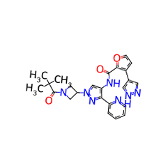 CC(C)(C)C(=O)N1CC(n2cc(NC(=O)c3occc3-c3cn[nH]c3)c(-c3ccccn3)n2)C1